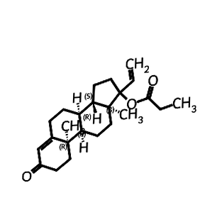 C=CC1(OC(=O)CC)CC[C@H]2[C@@H]3CCC4=CC(=O)CC[C@]4(C)[C@@H]3CC[C@@]21C